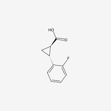 O=C(O)[C@@H]1C[C@H]1c1ccccc1F